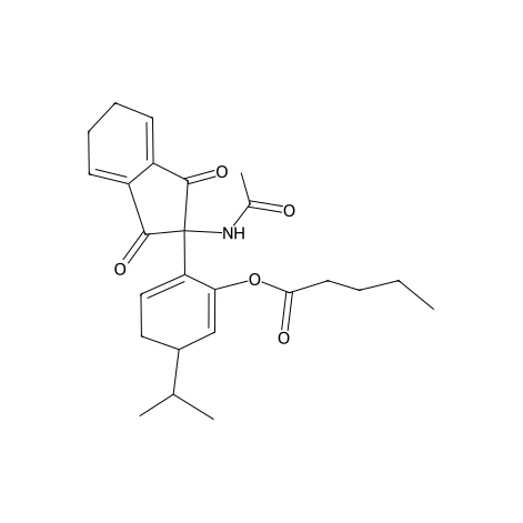 CCCCC(=O)OC1=CC(C(C)C)CC=C1C1(NC(C)=O)C(=O)C2=CCCC=C2C1=O